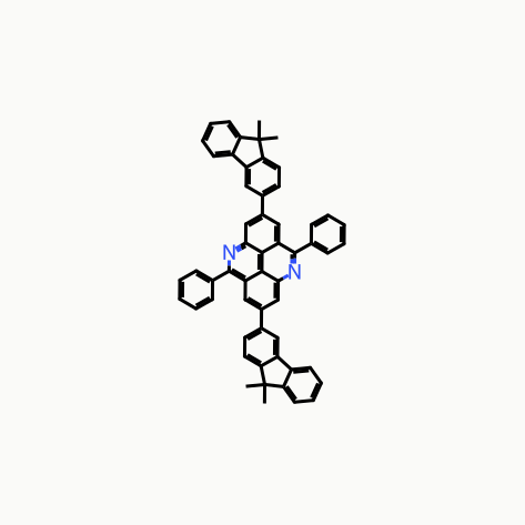 CC1(C)c2ccccc2-c2cc(-c3cc4nc(-c5ccccc5)c5cc(-c6ccc7c(c6)-c6ccccc6C7(C)C)cc6nc(-c7ccccc7)c(c3)c4c65)ccc21